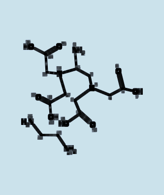 NC(CN(CC(=O)O)CC(=O)O)N(CC(=O)O)CC(=O)O.NCCN